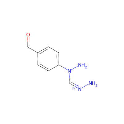 N/N=C\N(N)c1ccc(C=O)cc1